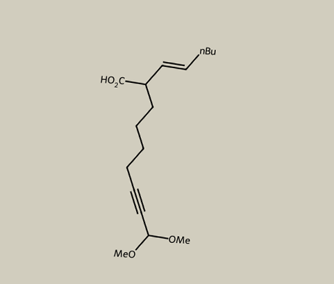 CCCC/C=C/C(CCCCC#CC(OC)OC)C(=O)O